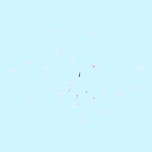 C/C(O)=C(O)\C(O)=C/C(c1c([C@H]2Oc3cc(O)cc(O)c3C[C@H]2OC(=O)c2cc(O)c(O)c(O)c2)cc(O)c(O)c1O)[C@H]1Oc2cc(O)cc(O)c2C[C@H]1OC(=O)c1cc(O)c(O)c(O)c1